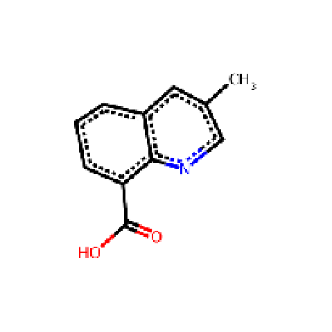 Cc1cnc2c(C(=O)O)cccc2c1